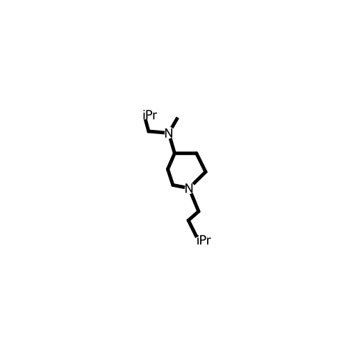 CC(C)CCN1CCC(N(C)CC(C)C)CC1